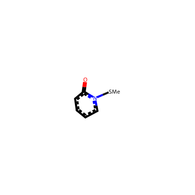 [CH2]Sn1ccccc1=O